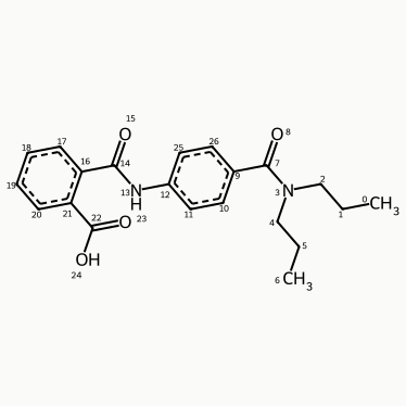 CCCN(CCC)C(=O)c1ccc(NC(=O)c2ccccc2C(=O)O)cc1